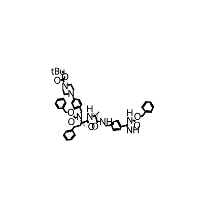 C[C@H](NC(=O)[C@@H](CCc1ccccc1)N(Cc1ccc(N2CCN(C(=O)OC(C)(C)C)CC2)cc1)C(=O)OCc1ccccc1)C(=O)NCc1ccc(C(=N)NC(=O)OCc2ccccc2)cc1